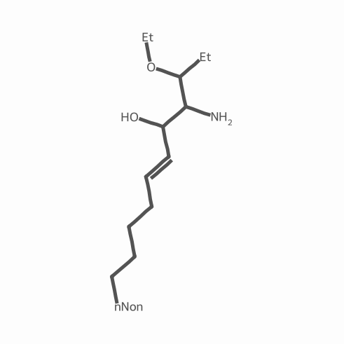 CCCCCCCCCCCCCC=CC(O)C(N)C(CC)OCC